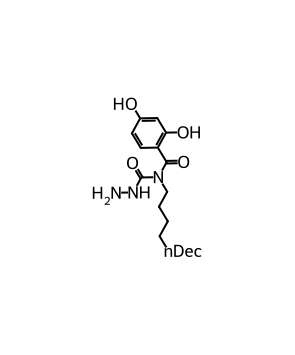 CCCCCCCCCCCCCCN(C(=O)NN)C(=O)c1ccc(O)cc1O